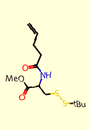 C=CCCC(=O)NC(CSSC(C)(C)C)C(=O)OC